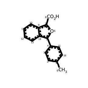 Cc1ccc(-c2oc(C(=O)O)c3ccccc23)cc1